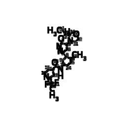 CC[C@@H]1Oc2nnc(-c3cc(NC(=O)c4ccnc(C(C)(F)F)c4)ccc3C)cc2N2CCOC[C@@H]12